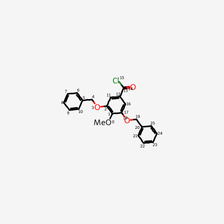 COc1c(OCc2ccccc2)cc(C(=O)Cl)cc1OCc1ccccc1